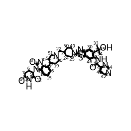 Cn1c(=O)n(C2CCC(=O)NC2=O)c2cccc(C3CCN(CC4CCN(c5nc6cc(C(C)(C)O)c(NC(=O)c7ccncn7)cc6s5)CC4)CC3)c21